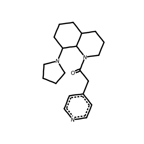 O=C(Cc1ccncc1)N1CCCC2CCCC(N3CCCC3)C21